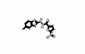 Cc1ccc2nc(NNC(=O)c3ccc([N+](=O)[O-])o3)sc2c1